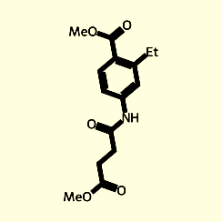 CCc1cc(NC(=O)CCC(=O)OC)ccc1C(=O)OC